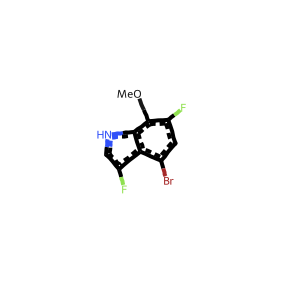 COc1c(F)cc(Br)c2c(F)c[nH]c12